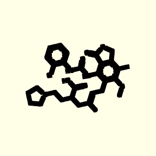 COc1c(C)c2c(c(NC(=O)Nc3ccccc3Cl)c1C/C=C(\C)CC(CCN1CCCC1)C(=O)O)C(=O)OC2